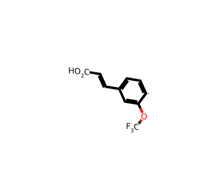 O=C(O)/C=C/c1cc[c]c(OC(F)(F)F)c1